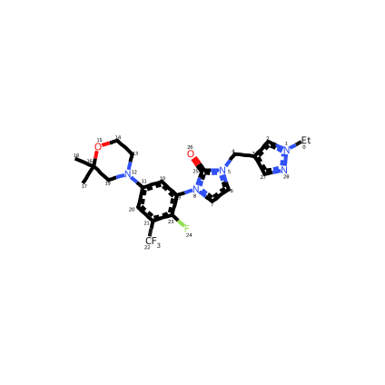 CCn1cc(Cn2ccn(-c3cc(N4CCOC(C)(C)C4)cc(C(F)(F)F)c3F)c2=O)cn1